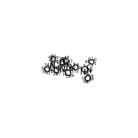 c1ccc(-c2cc(-c3ccc4c(c3)c3cccc(-n5c6ccccc6c6c5ccc5c7ccccc7n(-c7ccccc7)c56)c3n4-c3ccccc3)nc(-c3ccccc3)n2)cc1